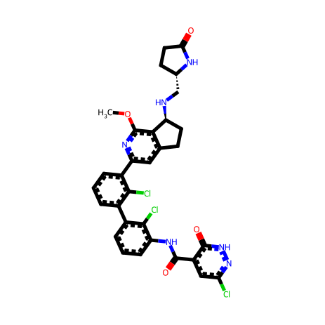 COc1nc(-c2cccc(-c3cccc(NC(=O)c4cc(Cl)n[nH]c4=O)c3Cl)c2Cl)cc2c1[C@@H](NC[C@@H]1CCC(=O)N1)CC2